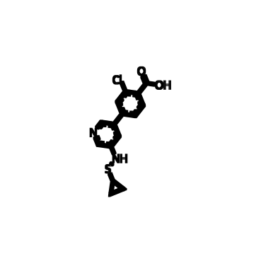 O=C(O)c1ccc(-c2cncc(NSC3CC3)c2)cc1Cl